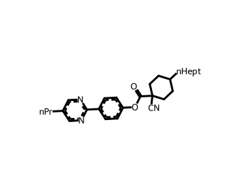 CCCCCCCC1CCC(C#N)(C(=O)Oc2ccc(-c3ncc(CCC)cn3)cc2)CC1